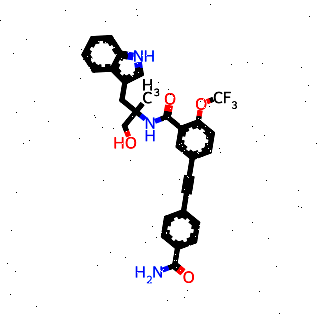 CC(CO)(Cc1c[nH]c2ccccc12)NC(=O)c1cc(C#Cc2ccc(C(N)=O)cc2)ccc1OC(F)(F)F